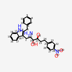 N[C@@H](Cc1c(Cc2ccccc2)[nH]c2ccccc12)C(O)C(=O)CCc1ccc([N+](=O)[O-])cc1